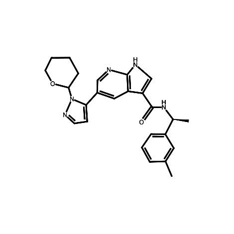 Cc1cccc([C@H](C)NC(=O)c2c[nH]c3ncc(-c4ccnn4C4CCCCO4)cc23)c1